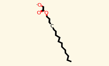 CCCCCCCCCCCCCCCCOC(=O)C[O]